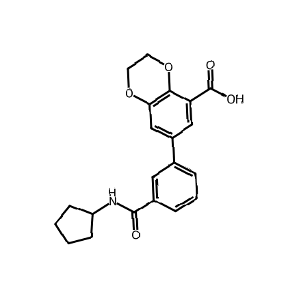 O=C(NC1CCCC1)c1cccc(-c2cc3c(c(C(=O)O)c2)OCCO3)c1